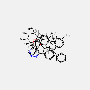 [2H]C1C([2H])([2H])C([2H])([2H])C([2H])([2H])C([2H])([2H])C1([2H])c1nnnc(-c2ccccc2-c2c(-c3c(C)c(C)cc4c3Cc3ccccc3-4)ccc3oc4ccccc4c23)c1C1([2H])C([2H])C([2H])([2H])C([2H])([2H])C([2H])([2H])C1([2H])[2H]